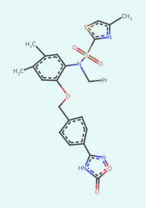 Cc1csc(S(=O)(=O)N(CC(C)C)c2cc(C)c(C)cc2OCc2ccc(-c3noc(=O)[nH]3)cc2)n1